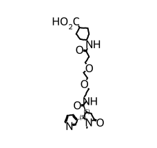 CN1C(=O)C[C@H](C(=O)NCCOCCOCCC(=O)NC2CCC(C(=O)O)CC2)[C@H]1c1cccnc1